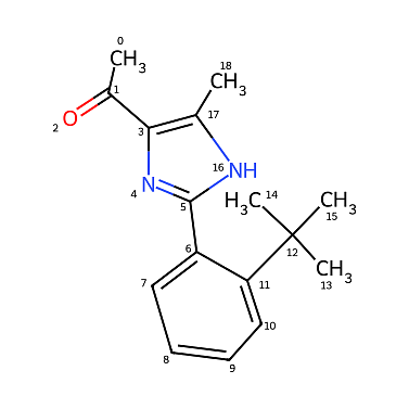 CC(=O)c1nc(-c2ccccc2C(C)(C)C)[nH]c1C